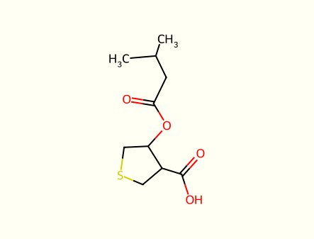 CC(C)CC(=O)OC1CSCC1C(=O)O